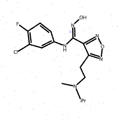 CC(C)N(C)CCc1nonc1/C(=N\O)Nc1ccc(F)c(Cl)c1